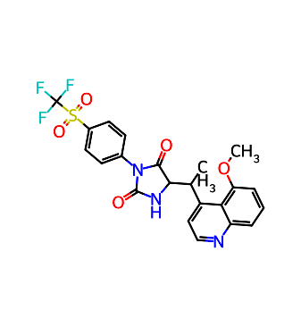 COc1cccc2nccc(C(C)C3NC(=O)N(c4ccc(S(=O)(=O)C(F)(F)F)cc4)C3=O)c12